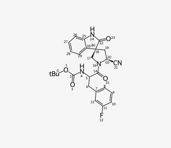 CC(C)(C)OC(=O)NC(Cc1cccc(F)c1)C(=O)N1C[C@]2(C[C@H]1C#N)C(=O)Nc1ccccc12